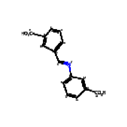 O=C(O)c1cccc(/C=N/c2cccc(C(=O)O)c2)c1